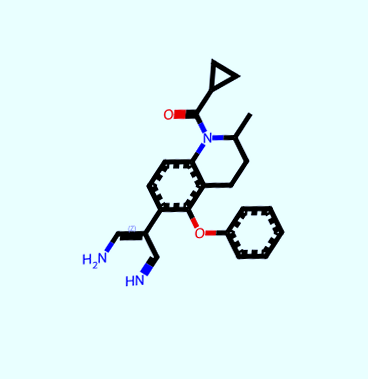 CC1CCc2c(ccc(/C(C=N)=C/N)c2Oc2ccccc2)N1C(=O)C1CC1